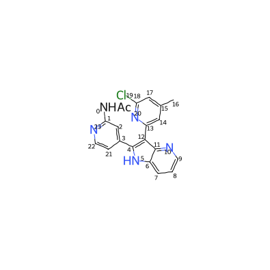 CC(=O)Nc1cc(-c2[nH]c3cccnc3c2-c2cc(C)cc(Cl)n2)ccn1